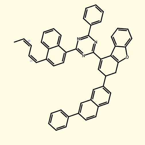 C/C=C\C=C/c1ccc(-c2nc(C3=CC(c4ccc5ccc(-c6ccccc6)cc5c4)Cc4oc5ccccc5c43)nc(-c3ccccc3)n2)c2ccccc12